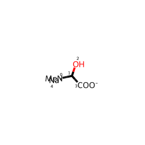 CNC(O)C(=O)[O-].[Na+]